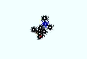 c1ccc(-c2nc(-c3ccccc3)nc(-c3ccc4c(c3)C(c3ccccc3)(c3ccccc3)c3c(-c5ccccc5)sc(-c5ccccc5)c3-4)n2)cc1